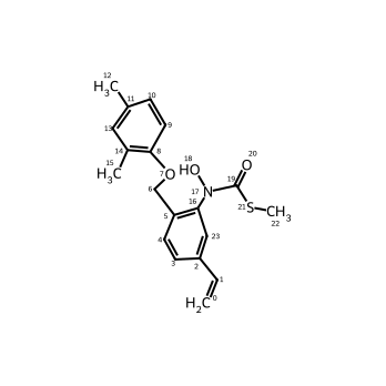 C=Cc1ccc(COc2ccc(C)cc2C)c(N(O)C(=O)SC)c1